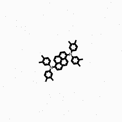 Cc1ccc(N(c2ccc(C)c(C)c2)c2ccc3ccc4c(N(c5ccc(C)c(C)c5)c5ccc(C)c(C)c5)ccc5ccc2c3c54)cc1C